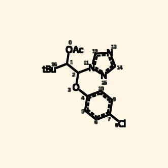 CC(=O)OC(C(Oc1ccc(Cl)cc1)n1cncn1)C(C)(C)C